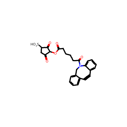 O=C(CCCCC(=O)N1Cc2ccccc2C#Cc2ccccc21)OC1C(=O)CC(S(=O)(=O)O)C1=O